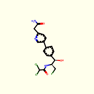 NC(=O)Cc1ccc(-c2ccc([C@@H](O)[C@@H](CF)NC(=O)C(Cl)Cl)cc2)cn1